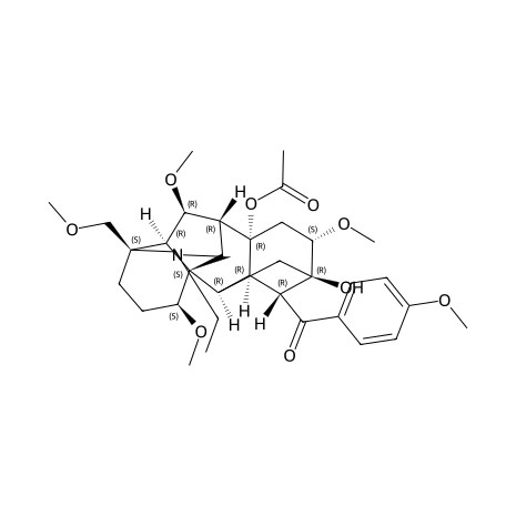 CCN1C[C@]2(COC)CC[C@H](OC)[C@]34C1[C@H]([C@H](OC)[C@H]23)[C@@]1(OC(C)=O)C[C@H](OC)[C@@]2(O)C[C@@H]4[C@@H]1[C@H]2C(=O)c1ccc(OC)cc1